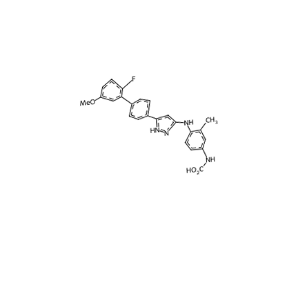 COc1ccc(F)c(-c2ccc(-c3cc(Nc4ccc(NC(=O)O)cc4C)n[nH]3)cc2)c1